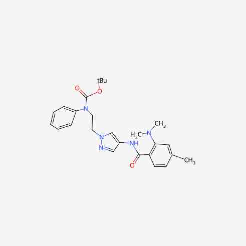 Cc1ccc(C(=O)Nc2cnn(CCN(C(=O)OC(C)(C)C)c3ccccc3)c2)c(N(C)C)c1